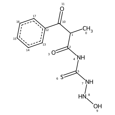 CC(C(=O)NC(=S)NNO)C(=O)c1ccccc1